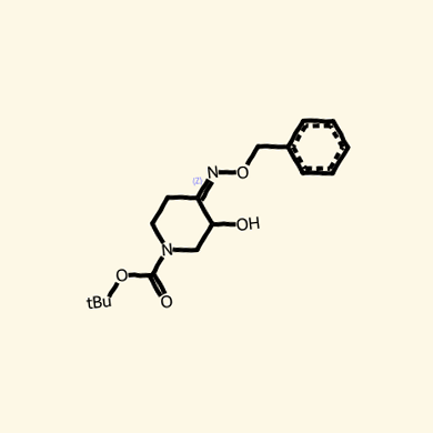 CC(C)(C)OC(=O)N1CC/C(=N/OCc2ccccc2)C(O)C1